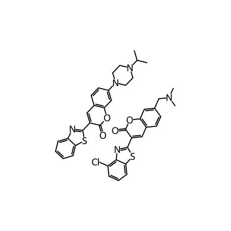 CC(C)N1CCN(c2ccc3cc(-c4nc5ccccc5s4)c(=O)oc3c2)CC1.CN(C)Cc1ccc2cc(-c3nc4c(Cl)cccc4s3)c(=O)oc2c1